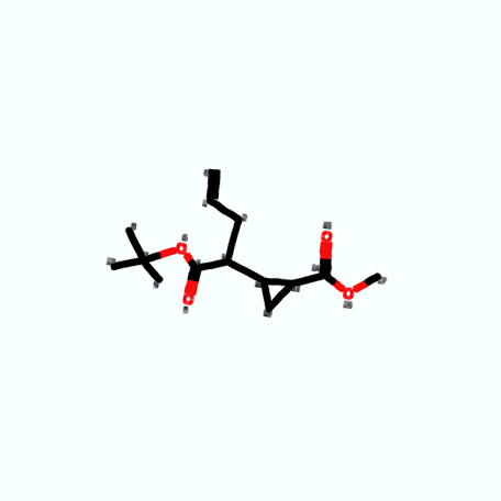 C=CCC(C(=O)OC(C)(C)C)C1CC1C(=O)OC